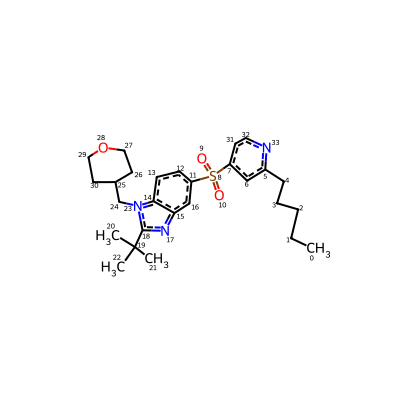 CCCCCc1cc(S(=O)(=O)c2ccc3c(c2)nc(C(C)(C)C)n3CC2CCOCC2)ccn1